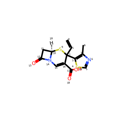 C=CC1(c2scnc2C)S[C@@H]2CC(=O)N2C=C1C(=O)O